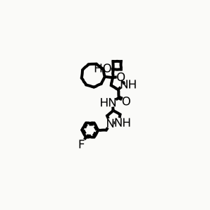 O=C(NC1CNN(Cc2cccc(F)c2)C1)C1CC(C2CCCCCCCC2)(C2(O)CCC2)ON1